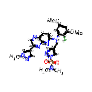 COc1cc(OC)c(F)c(N(Cc2cnn(S(=O)(=O)N(C)C)c2)c2ccc3ncc(-c4cnn(C)c4)nc3n2)c1